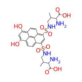 CC(CNS(=O)(=O)c1cc(S(=O)(=O)NCC(C)C(N)C(=O)O)c2ccc3c(O)cc(O)c4ccc1c2c43)C(N)C(=O)O